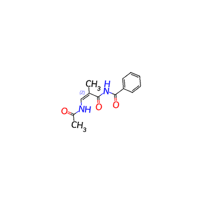 CC(=O)N/C=C(/C)C(=O)NC(=O)c1ccccc1